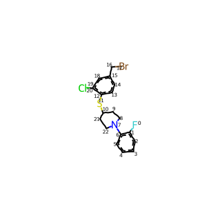 Fc1ccccc1N1CCC(Sc2ccc(CBr)cc2Cl)CC1